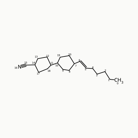 CCCCCC=CC1CCC(C2CCC(C#N)CC2)CC1